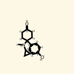 CN(C1CC1)C1(c2ccc(Cl)cc2)CCC(=O)CC1